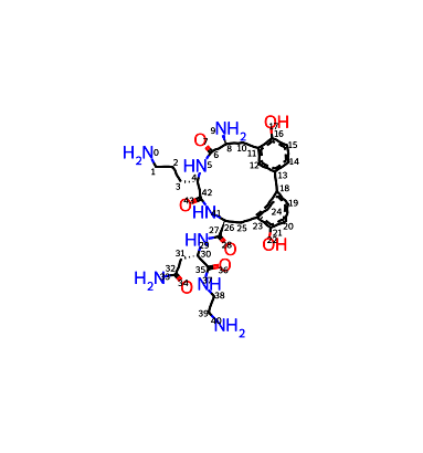 NCCC[C@@H]1NC(=O)[C@@H](N)Cc2cc(ccc2O)-c2ccc(O)c(c2)C[C@@H](C(=O)N[C@@H](CC(N)=O)C(=O)NCCN)NC1=O